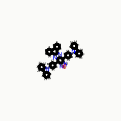 c1ccc2c(c1)c1ccccc1c1nc3c(-c4ccc(-n5c6ccccc6c6ccccc65)cc4)c4nonc4c(-c4ccc(-n5c6ccccc6c6ccccc65)cc4)c3nc21